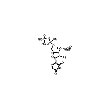 O=c1ccn([C@H]2O[C@@H](COP(=O)(O)OP(=O)(O)O)C(O)C2O)c(=O)[nH]1.[NaH].[NaH].[NaH].[NaH]